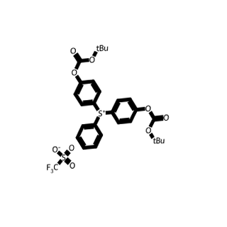 CC(C)(C)OC(=O)Oc1ccc([S+](c2ccccc2)c2ccc(OC(=O)OC(C)(C)C)cc2)cc1.O=S(=O)([O-])C(F)(F)F